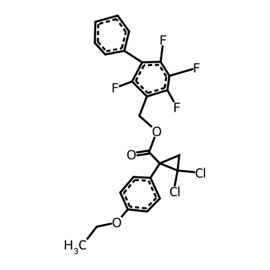 CCOc1ccc(C2(C(=O)OCc3c(F)c(F)c(F)c(-c4ccccc4)c3F)CC2(Cl)Cl)cc1